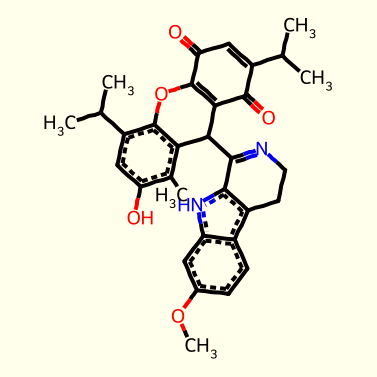 COc1ccc2c3c([nH]c2c1)C(C1C2=C(Oc4c(C(C)C)cc(O)c(C)c41)C(=O)C=C(C(C)C)C2=O)=NCC3